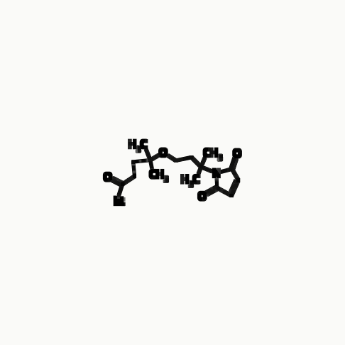 CCC(=O)CCC(C)(C)OCCC(C)(C)N1C(=O)C=CC1=O